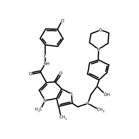 Cc1c(CN(C)CC(O)c2ccc(N3CCOCC3)cc2)sc2c(=O)c(C(=O)NCc3ccc(Cl)cc3)cn(C)c12